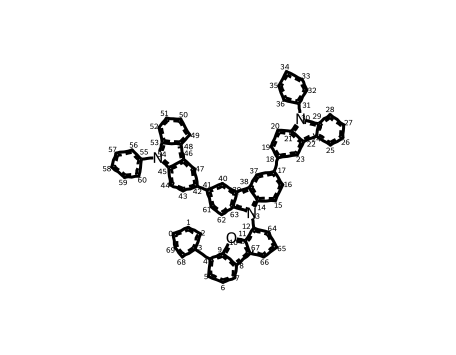 c1ccc(-c2cccc3c2oc2c(-n4c5ccc(-c6ccc7c(c6)c6ccccc6n7-c6ccccc6)cc5c5cc(-c6ccc7c(c6)c6ccccc6n7-c6ccccc6)ccc54)cccc23)cc1